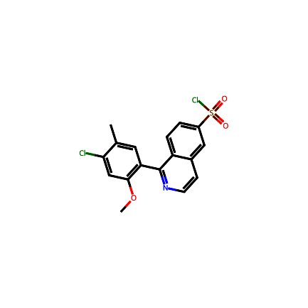 COc1cc(Cl)c(C)cc1-c1nccc2cc(S(=O)(=O)Cl)ccc12